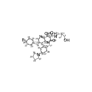 CC(C)(CO)CNC(=O)c1c(O)c2ncc(Cc3ccc(F)cc3)cc2n(Cc2ccc(N3CCCC3)cc2)c1=O